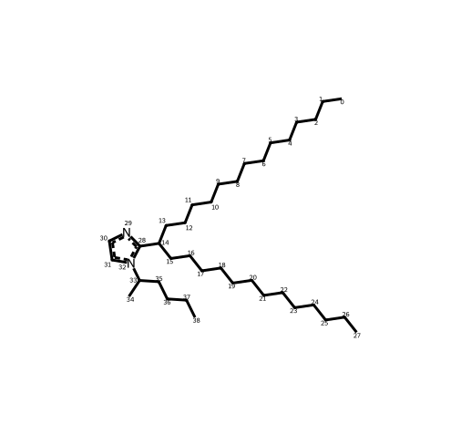 CCCCCCCCCCCCCCC(CCCCCCCCCCCCC)c1nccn1C(C)CCCC